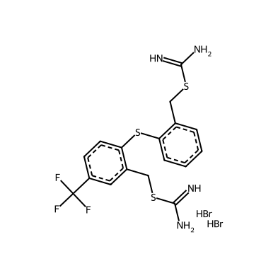 Br.Br.N=C(N)SCc1ccccc1Sc1ccc(C(F)(F)F)cc1CSC(=N)N